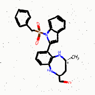 C[C@@H]1CC(C=O)Nc2cccc(-c3cc4ccccc4n3S(=O)(=O)Cc3ccccc3)c2N1